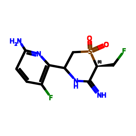 N=C1NC(c2nc(N)ccc2F)CS(=O)(=O)[C@H]1CF